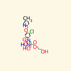 Cc1ccc(COc2cc3oc(=O)n(CC(N)(CO)C(=O)OCCCO)c3cc2Cl)nc1